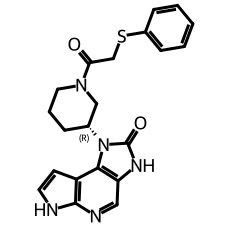 O=C(CSc1ccccc1)N1CCC[C@@H](n2c(=O)[nH]c3cnc4[nH]ccc4c32)C1